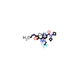 C=C/C=C\c1occ(-c2nn(CC(F)(F)F)c3cc(C(=O)N(C4CCC4)C4CCC4)ncc23)c1C